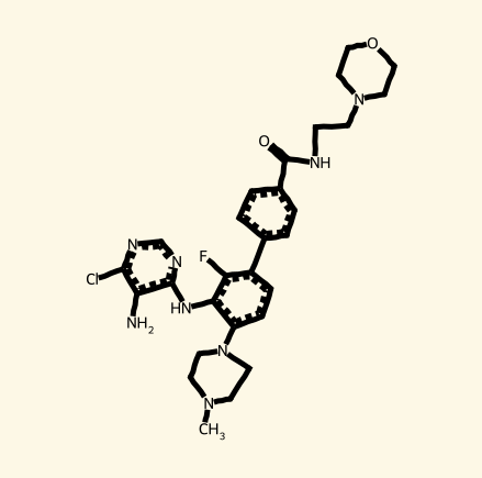 CN1CCN(c2ccc(-c3ccc(C(=O)NCCN4CCOCC4)cc3)c(F)c2Nc2ncnc(Cl)c2N)CC1